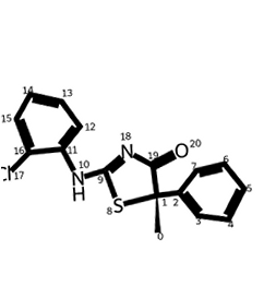 C[C@@]1(c2ccccc2)SC(Nc2ccccc2Cl)=NC1=O